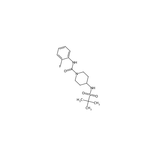 CC(C)(C)S(=O)(=O)NC1CCN(C(=O)Nc2ccccc2F)CC1